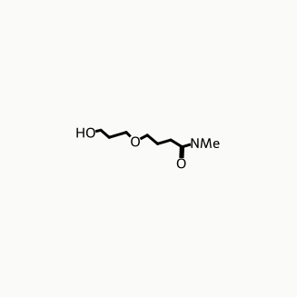 CNC(=O)CCCOCCCO